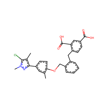 Cc1cc(-c2nn(C)c(Cl)c2C)ccc1OCc1ccccc1Cc1ccc(C(=O)O)cc1C(=O)O